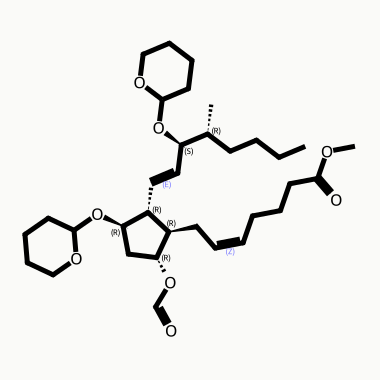 CCCC[C@@H](C)[C@@H](/C=C/[C@@H]1[C@@H](C/C=C\CCCC(=O)OC)[C@H](OC=O)C[C@H]1OC1CCCCO1)OC1CCCCO1